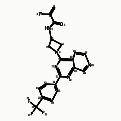 C=C(F)C(=O)NC1CN(c2nc(-c3ccc(C(F)(F)F)cc3)nc3cnccc23)C1